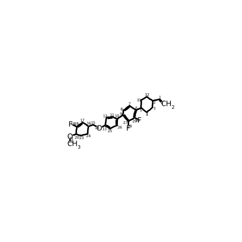 C=CC1CCC(c2ccc(-c3ccc(OCC4C=C(F)C(OC)CC4)cc3)c(F)c2F)CC1